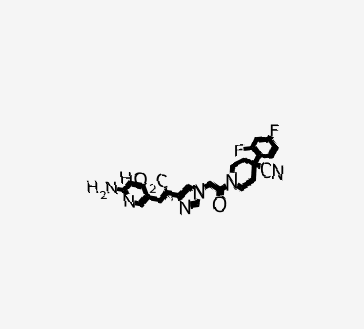 N#CC1(c2ccc(F)cc2F)CCN(C(=O)Cn2cnc([C@@H](Cc3ccc(N)nc3)C(=O)O)c2)CC1